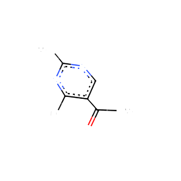 CCc1nc(SC)ncc1C(=O)OC